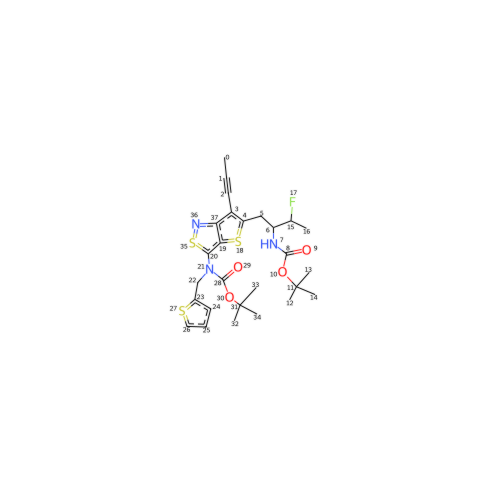 CC#Cc1c(CC(NC(=O)OC(C)(C)C)C(C)F)sc2c(N(Cc3cccs3)C(=O)OC(C)(C)C)snc12